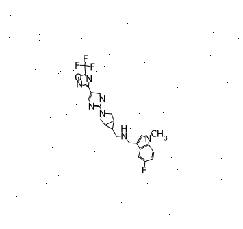 Cn1cc(CNCC2C3CN(c4ncc(-c5noc(C(F)(F)F)n5)cn4)CC23)c2cc(F)ccc21